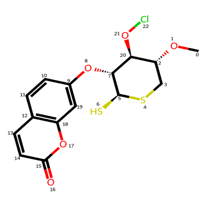 CO[C@@H]1CS[C@@H](S)[C@H](Oc2ccc3ccc(=O)oc3c2)[C@H]1OCl